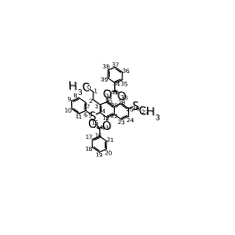 CCCc1c(Sc2ccccc2)c(OC(=O)c2ccccc2)c2ccc(SC)cc2c1OC(=O)c1ccccc1